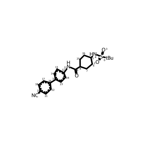 CC(C)(C)S(=O)(=O)NC1CCC(C(=O)Nc2ccc(-c3ccc(C#N)cc3)cc2)CC1